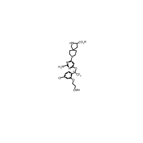 COCCOc1cc(Cl)ccc1[C@@H](Oc1cc(N2CCC3(CC2)CNC(C(=O)O)C3)nc(N)n1)C(F)(F)F